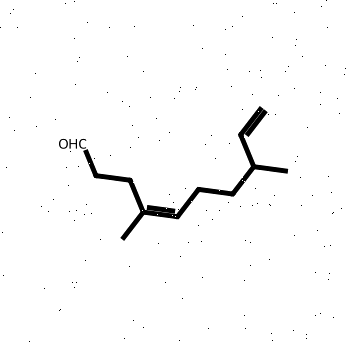 C=CC(C)CC/C=C(/C)CCC=O